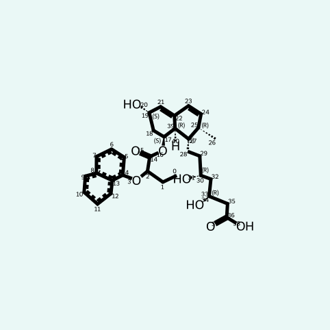 CCC(Oc1cccc2ccccc12)C(=O)O[C@H]1C[C@H](O)C=C2C=C[C@H](C)[C@H](CC[C@@H](O)C[C@@H](O)CC(=O)O)[C@H]21